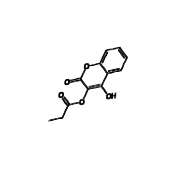 CCC(=O)Oc1c(O)c2ccccc2oc1=O